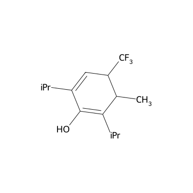 CC(C)C1=CC(C(F)(F)F)C(C)C(C(C)C)=C1O